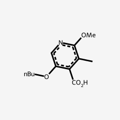 CCCCOc1cnc(OC)c(C)c1C(=O)O